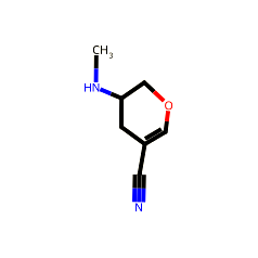 CNC1COC=C(C#N)C1